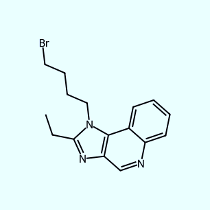 CCc1nc2cnc3ccccc3c2n1CCCCBr